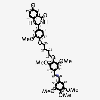 COc1cc(C2NC(=O)c3cc(Cl)ccc3N2)ccc1OCCCCOc1c(OC)cc(/C=C/c2cc(OC)c(OC)c(OC)c2)cc1OC